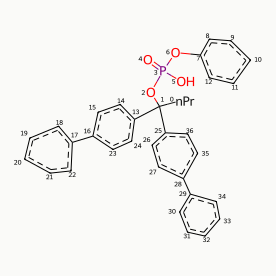 CCCC(OP(=O)(O)Oc1ccccc1)(c1ccc(-c2ccccc2)cc1)c1ccc(-c2ccccc2)cc1